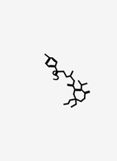 C=C(CC(C)CCC(=S)c1ccc(C)cc1)C1=C(C(C)C)C(=C)CCC(CC)(CCC)C1